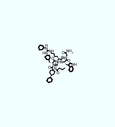 CCCC(=O)N[C@]1(C(=O)N[C@H](Cc2ccccc2)C(=O)N[C@@H](CCCCNC(=N)Nc2ccccc2)C(=O)N[C@@H](Cc2c[nH]c3ccccc23)C(=O)NCC(N)=O)CC[C@H](c2ccccc2)CC1